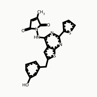 CC1=CC(=O)N(Nc2nc(-c3cccs3)nc3sc(Cc4cccc(O)c4)cc23)C1=O